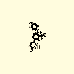 Cc1ccc(Sc2ccc(-c3ccc(=O)[nH]n3)cc2C(F)(F)F)cc1